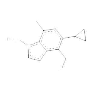 Cc1cc(C2CC2)c(CCl)c2ccn(C(=O)O)c12